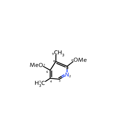 COc1ncc(C)c(OC)c1C